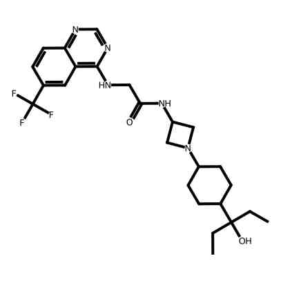 CCC(O)(CC)C1CCC(N2CC(NC(=O)CNc3ncnc4ccc(C(F)(F)F)cc34)C2)CC1